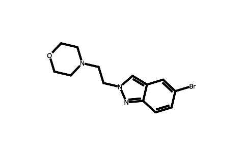 Brc1ccc2nn(CCN3CCOCC3)cc2c1